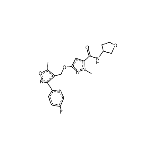 Cc1onc(-c2ccc(F)cn2)c1COc1cc(C(=O)NC2CCOC2)n(C)n1